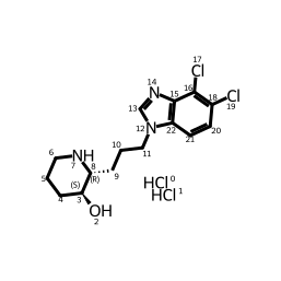 Cl.Cl.O[C@H]1CCCN[C@@H]1CCCn1cnc2c(Cl)c(Cl)ccc21